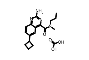 CCCN(C)C(=O)c1nc(N)nc2ccc(C3CCC3)cc12.O=C(O)O